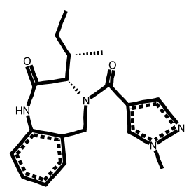 CC[C@H](C)[C@H]1C(=O)Nc2ccccc2CN1C(=O)c1cnn(C)c1